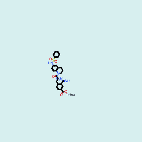 CCCCCCOC(=O)c1ccc(CCC(=O)N2CCCc3cc(NS(=O)(=O)c4ccccc4)ccc32)c(C(=N)N)c1